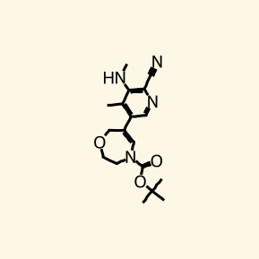 CNc1c(C#N)ncc(C2=CN(C(=O)OC(C)(C)C)CCOC2)c1C